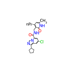 CCCc1cc(C)[nH]c(=O)c1CNC(=O)c1cc(Cl)cc2c(C3CCCC3)ncn12